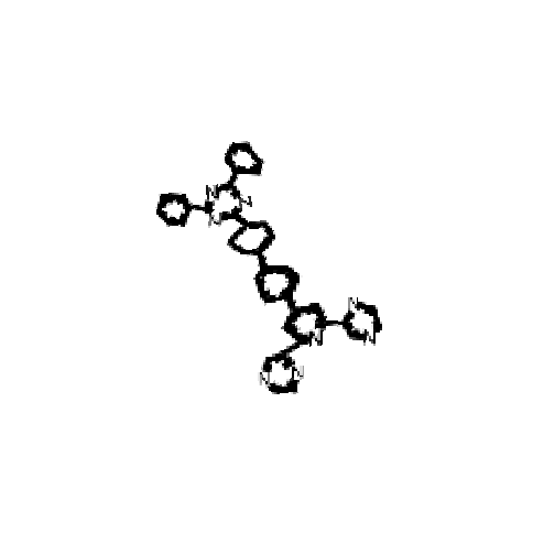 C1=C(c2ccc(-c3cc(-c4cnccn4)nc(-c4cnccn4)c3)cc2)CCC(c2nc(-c3ccccc3)nc(-c3ccccc3)n2)=C1